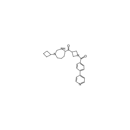 O=C(C1CN(C(=O)c2ccc(-c3ccncc3)cc2)C1)C1CCCN(C2CCC2)CN1